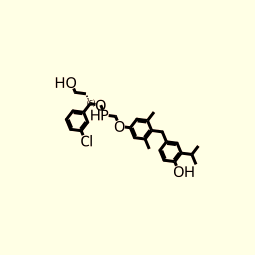 Cc1cc(OCPO[C@@H](CCO)c2cccc(Cl)c2)cc(C)c1Cc1ccc(O)c(C(C)C)c1